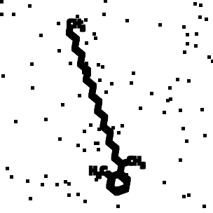 CCCCCCCCCCCCCCCCCC[C](C)c1ccccc1C